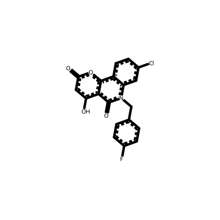 O=c1cc(O)c2c(=O)n(Cc3ccc(F)cc3)c3cc(Cl)ccc3c2o1